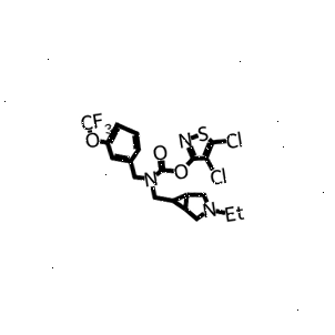 CCN1CC2C(C1)C2CN(Cc1cccc(OC(F)(F)F)c1)C(=O)Oc1nsc(Cl)c1Cl